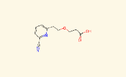 N#Cc1cccc(CCOCCC(=O)O)n1